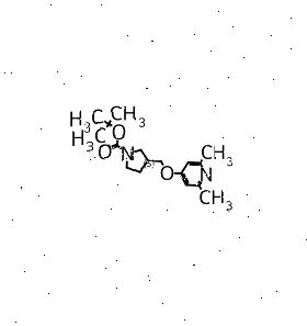 Cc1cc(OC[C@H]2CCN(C(=O)OC(C)(C)C)C2)cc(C)n1